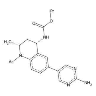 CC(=O)N1c2ccc(-c3cnc(N)nc3)cc2[C@@H](NC(=O)OC(C)C)C[C@H]1C